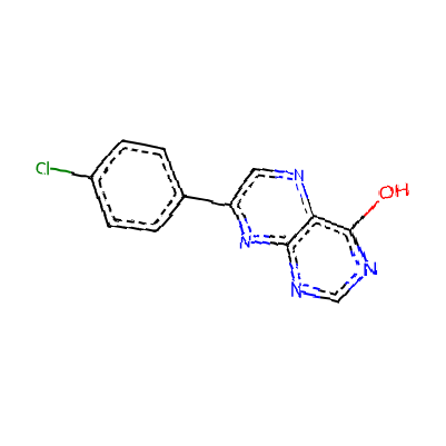 Oc1ncnc2nc(-c3ccc(Cl)cc3)cnc12